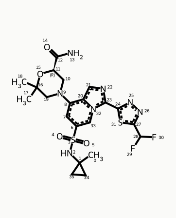 CC1(NS(=O)(=O)c2cc(N3C[C@H](C(N)=O)OC(C)(C)C3)c3cnc(-c4nnc(C(F)F)s4)n3c2)CC1